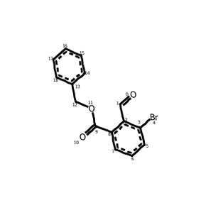 O=Cc1c(Br)cccc1C(=O)OCc1ccccc1